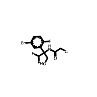 O=C(CCl)NC(CO)(c1cc(Br)ccc1F)C(F)F